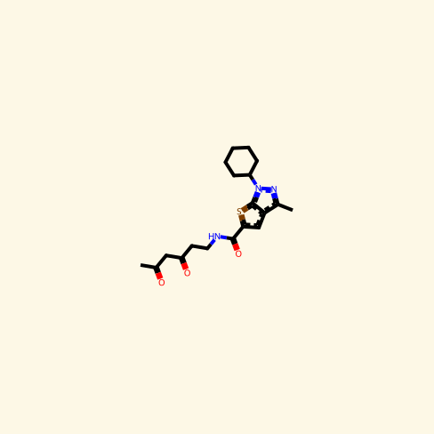 CC(=O)CC(=O)CCNC(=O)c1cc2c(C)nn(C3CCCCC3)c2s1